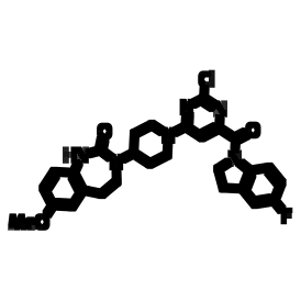 COc1ccc2c(c1)CCN(C1CCN(c3cc(C(=O)N4CCc5cc(F)ccc54)nc(Cl)n3)CC1)C(=O)N2